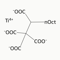 CCCCCCCCC(C(=O)[O-])C(C(=O)[O-])(C(=O)[O-])C(=O)[O-].[Ti+4]